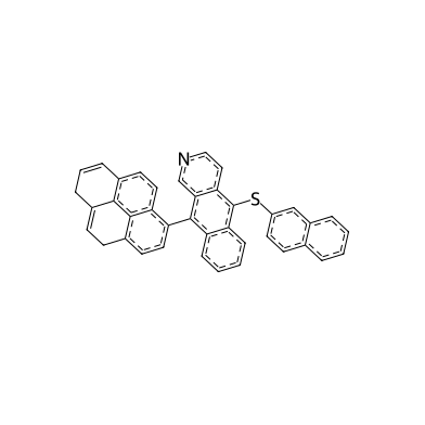 C1=Cc2ccc3c(-c4c5ccccc5c(Sc5ccc6ccccc6c5)c5ccncc45)ccc4c3c2C(=CC4)C1